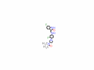 CC(=O)N(C)C1CCN(c2ccc(N/C=C3\C(=O)Nc4cc(F)ccc43)cc2F)C1